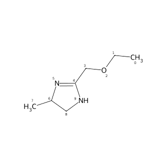 CCOCC1=NC(C)CN1